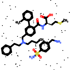 CCCCN(CCc1ccccc1)Cc1ccc(C(=O)N[C@@H](CCSC)C(=O)O)c(-c2ccccc2C)c1.NCc1ccc(S(N)(=O)=O)cc1